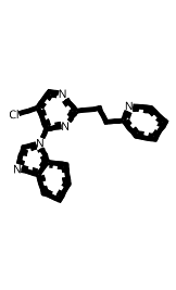 Clc1cnc(CCc2ccccn2)nc1-n1cnc2ccccc21